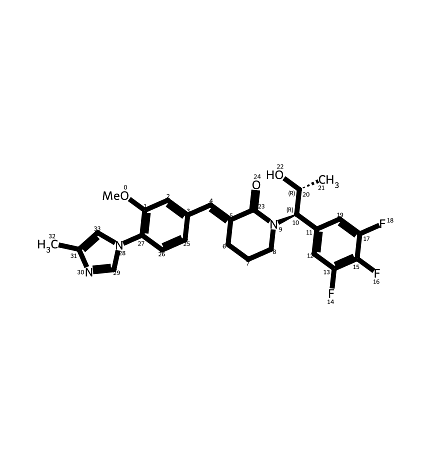 COc1cc(C=C2CCCN([C@H](c3cc(F)c(F)c(F)c3)[C@@H](C)O)C2=O)ccc1-n1cnc(C)c1